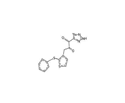 O=C(Cc1ccsc1Sc1ccccc1)C(=O)c1nn[nH]n1